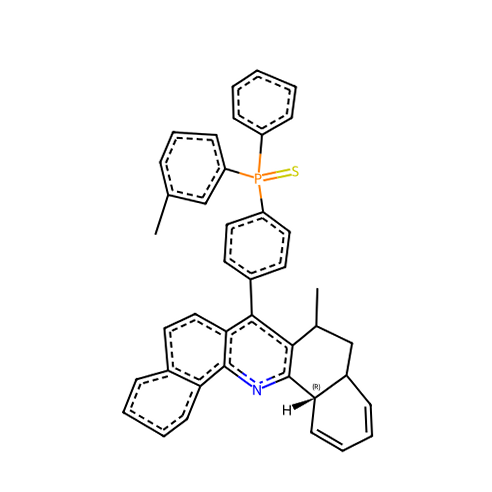 Cc1cccc(P(=S)(c2ccccc2)c2ccc(-c3c4c(nc5c3ccc3ccccc35)[C@H]3C=CC=CC3CC4C)cc2)c1